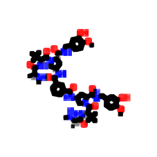 CN[C@@H](C)C(=O)N[C@H](C(=O)N1C[C@@H](NC(=O)c2cccc(C(=O)N[C@H]3C[C@@H](C(=O)NCc4ccc(OC)c(O)c4)N(C(=O)[C@@H](NC(=O)[C@H](C)NC)C(C)(C)C)C3)c2)C[C@H]1C(=O)NCc1ccc(OC)c(O)c1)C(C)(C)C